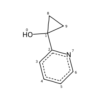 OC1(c2ccccn2)CC1